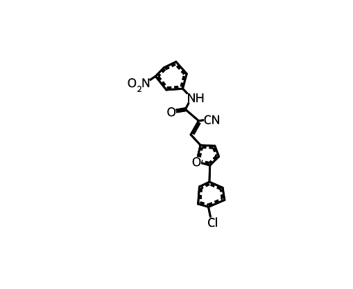 N#C/C(=C\c1ccc(-c2ccc(Cl)cc2)o1)C(=O)Nc1cccc([N+](=O)[O-])c1